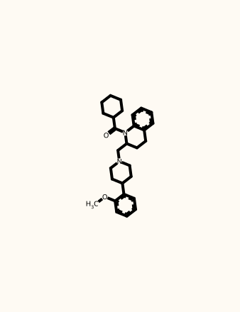 COc1ccccc1C1CCN(CC2CCc3ccccc3N2C(=O)C2CCCCC2)CC1